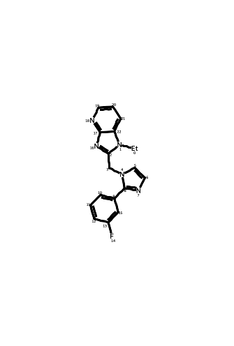 CCn1c(Cn2ccnc2-c2cccc(F)c2)nc2ncccc21